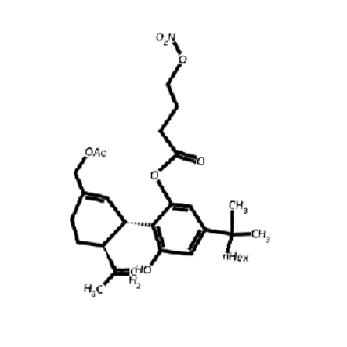 C=C(C)[C@H]1CCC(COC(C)=O)=C[C@@H]1c1c(O)cc(C(C)(C)CCCCCC)cc1OC(=O)CCCO[N+](=O)[O-]